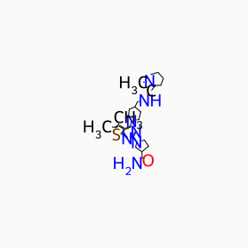 Cc1sc2nc(N3CCC(C(N)=O)C3)nc(N3CCC(CNCCC4CCCCN4C)CC3)c2c1C